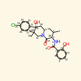 CC(C)[C@@H](NC(=O)c1ccccc1O)C(=O)N1CC[C@](O)(c2ccc(Cl)cc2)C(C)(C)C1